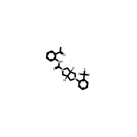 CC(=O)c1ccccc1NC(=O)N1C[C@@H]2CN(c3ccccc3C(F)(F)F)C[C@@H]2C1